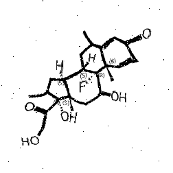 CC1C[C@H]2[C@@H]3CC(C)[C@](O)(C(=O)CO)[C@@]3(C)CC(O)[C@]2(F)[C@@]2(C)C=CC(=O)C=C12